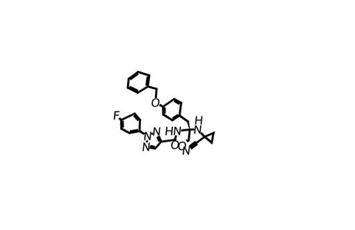 N#CC1(N[C@@](C=O)(Cc2ccc(OCc3ccccc3)cc2)NC(=O)c2cnn(-c3ccc(F)cc3)n2)CC1